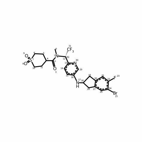 CN(C(=O)C1CCS(=O)(=O)CC1)[C@@H](c1ccc(NC2Cc3cc(F)c(Br)cc3C2)cn1)C(F)(F)F